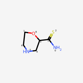 NC(=S)C1CNCCO1